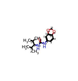 CC(C)C(NC(=O)Nc1ccc2c(c1)OCO2)C(C)C